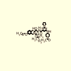 COCOc1ccc2c(c1)CN(C(=O)OC(C)(C)C)[C@H]([C@H](O)CNC(=O)c1cc(NC3CCN(C(C)=O)CC3)nc(N3CCCC3)n1)C2